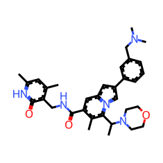 Cc1cc(C)c(CNC(=O)c2cc3cc(-c4cccc(CN(C)C)c4)cn3c(C(C)N3CCOCC3)c2C)c(=O)[nH]1